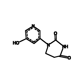 O=C1CCN(c2cncc(O)c2)C(=O)N1